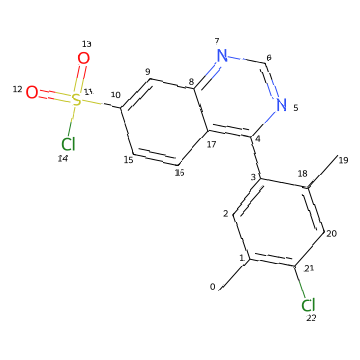 Cc1cc(-c2ncnc3cc(S(=O)(=O)Cl)ccc23)c(C)cc1Cl